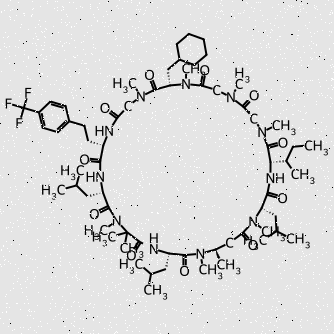 CCC(C)[C@@H]1NC(=O)[C@H](CC(C)C)N(C)C(=O)C[C@@H](C)N(C)C(=O)[C@H](CC(C)C)NC(=O)C(C)(C)N(C)C(=O)[C@H](CC(C)C)NC(=O)[C@H](CCc2ccc(C(F)(F)F)cc2)NC(=O)CN(C)C(=O)[C@H](CC2CCCCC2)N(C)C(=O)CN(C)C(=O)CN(C)C1=O